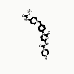 CC(C)(C)OC(=O)NC1CCN(Cc2ccc(-n3ccc(NC(=O)N4CCNCC4)nc3=O)cc2)CC1